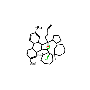 C=CCCC(C)(C1CCCC1)C1C2C=C(C(C)(C)C)C=CC2C2C=CC(C(C)(C)C)=CC2[C@@]1([C@@H](Cl)C(Cl)C1(C)CCCCCC1)C1(C)CCCCCC1